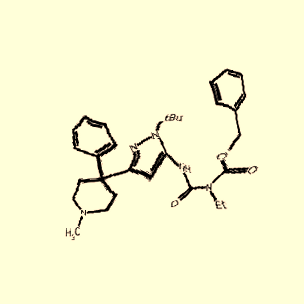 CCN(C(=O)Nc1cc(C2(c3ccccc3)CCN(C)CC2)nn1C(C)(C)C)C(=O)OCc1ccccc1